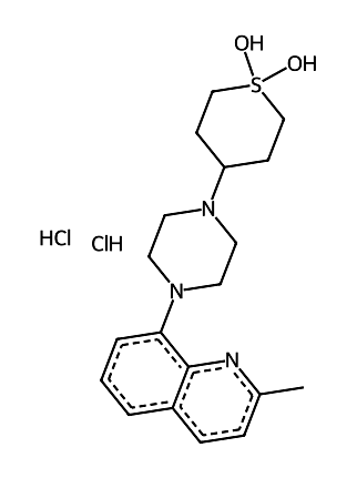 Cc1ccc2cccc(N3CCN(C4CCS(O)(O)CC4)CC3)c2n1.Cl.Cl